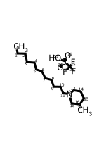 CCCCCCCCCCCCN1CCCC(C)C1.O=S(=O)(O)C(F)(F)F